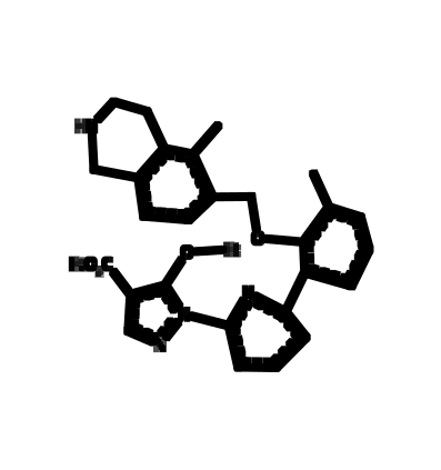 CCOC(=O)c1cnn(-c2cccc(-c3cccc(C)c3OCc3ccc4c(c3C)CCNC4)n2)c1OCC